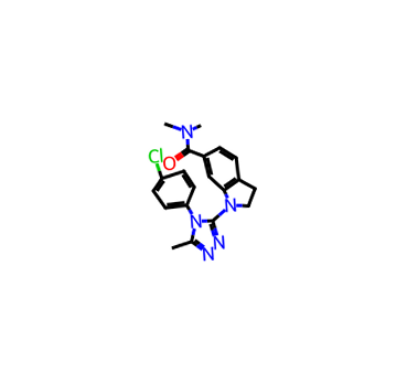 Cc1nnc(N2CCc3ccc(C(=O)N(C)C)cc32)n1-c1ccc(Cl)cc1